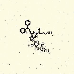 CCNC(=O)[C@H]1O[C@@H](n2cnc3c(NCC(c4ccccc4)c4ccccc4)nc(NCCCN)nc32)[C@H](O)[C@@H]1O